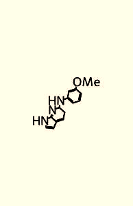 COc1cccc(NC2CC=c3cc[nH]c3=N2)c1